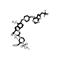 Cc1c(CN2CCC(Nc3ncnc4sc(CC(F)(F)F)cc34)CC2)ccc2c1cc(C#N)n2CC(C)N1CCN(S(C)(=O)=O)C(CO)C1